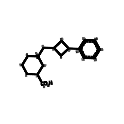 O=C(O)C1CCCN(CC2CC(c3ccccc3)C2)C1